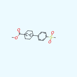 COC(=O)C12CCC(c3ccc(S(C)(=O)=O)cc3)(CC1)CC2